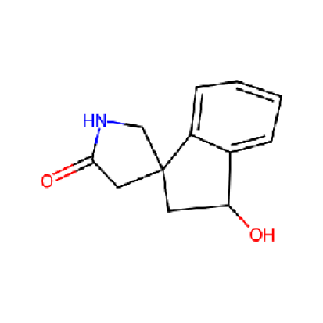 O=C1CC2(CN1)CC(O)c1ccccc12